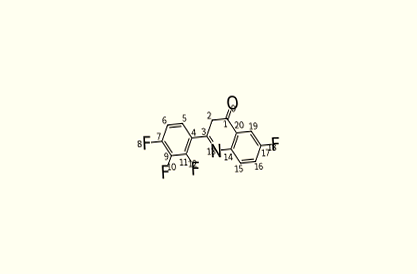 O=C1CC(c2ccc(F)c(F)c2F)=Nc2ccc(F)cc21